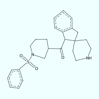 O=C(C1CCCN(S(=O)(=O)c2ccccc2)C1)C1c2ccccc2CC12CCNCC2